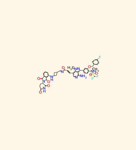 C[C@H](Oc1cc(-c2nn(C)c3c(C#CC(=O)/N=C/C4CC(Nc5cccc6c5C(=O)N(C5CCC(=O)NC5=O)C6=O)C4)cnc(N)c23)ccc1NS(=O)(=O)C(F)F)c1ccc(F)cc1